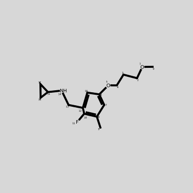 COCCCOc1cc(C)c(F)c(CNC2CC2)c1